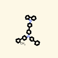 CC1C=CC=CC1c1ccc(N(c2ccc(-c3ccccc3)cc2)c2ccc(-c3ccc(-n4c5ccccc5c5ccccc54)cc3)cc2)cc1